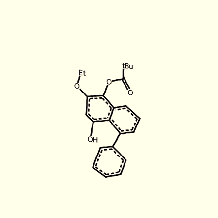 CCOc1cc(O)c2c(-c3ccccc3)cccc2c1OC(=O)C(C)(C)C